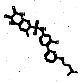 Cc1cc2[nH]c(=O)c(=O)[nH]c2cc1S(=O)(=O)Nc1ccc(-c2cccc(OCCN(C)C)c2)c(Cl)c1